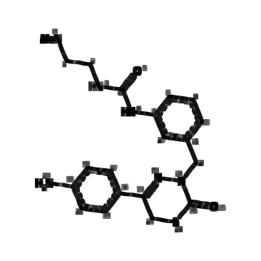 CNCCNC(=O)Nc1cccc(CN2N=C(c3ccc(N)cc3)CSC2=O)c1